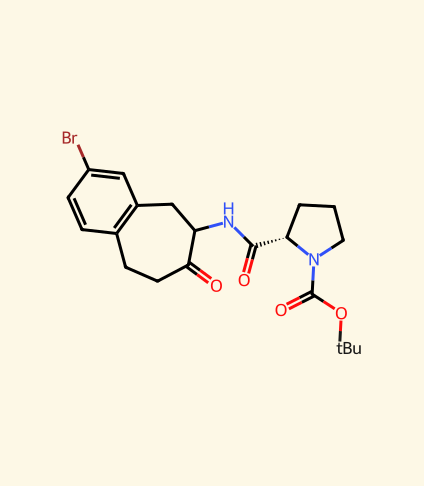 CC(C)(C)OC(=O)N1CCC[C@H]1C(=O)NC1Cc2cc(Br)ccc2CCC1=O